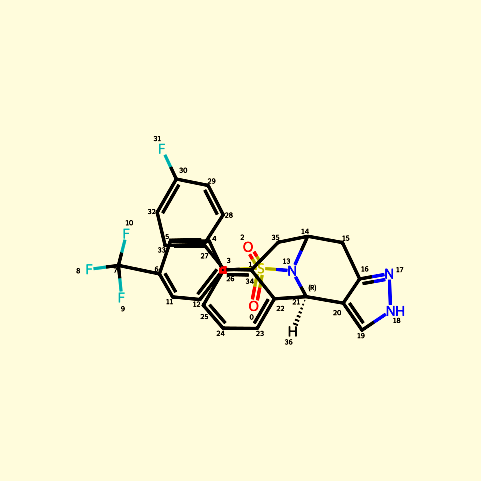 O=S(=O)(c1ccc(C(F)(F)F)cc1)N1C2Cc3n[nH]cc3[C@H]1c1cccc(-c3ccc(F)cc3)c1C2